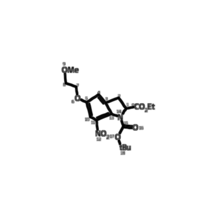 CCOC(=O)C1Cc2cc(OCCOC)cc([N+](=O)[O-])c2N1C(=O)OC(C)(C)C